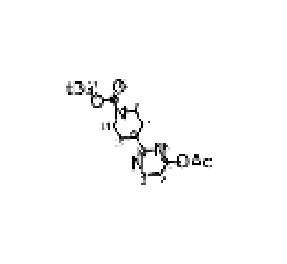 CC(=O)Oc1ccnc(C2CCN(C(=O)OC(C)(C)C)CC2)n1